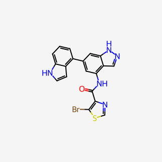 O=C(Nc1cc(-c2cccc3[nH]ccc23)cc2[nH]ncc12)c1ncsc1Br